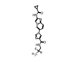 CC(F)(F)CNC(=O)c1cn(-c2ccc3nc(NC(=O)C4CC4)cn3c2)cn1